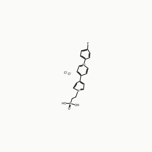 O=P(O)(O)CC[n+]1ccc(-c2cc[n+](-c3ccc(F)cc3)cc2)cc1.[Cl-].[Cl-]